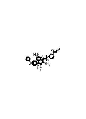 COCCC(=O)N1CCCC(NC(=O)c2sc3c(N)ccc4c3c2C(N)C(=O)C4(N)c2ccc(Oc3ccccc3)cc2)C1